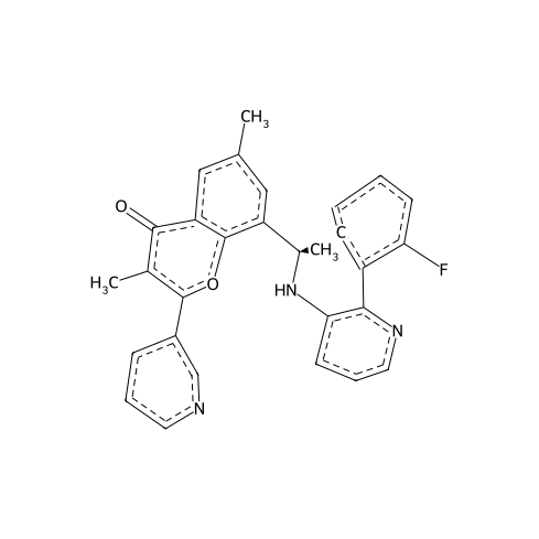 Cc1cc([C@@H](C)Nc2cccnc2-c2ccccc2F)c2oc(-c3cccnc3)c(C)c(=O)c2c1